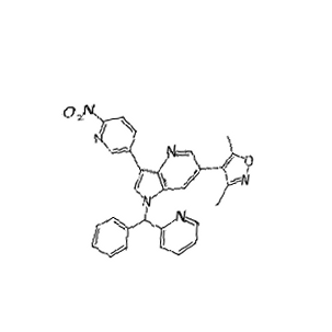 Cc1noc(C)c1-c1cnc2c(-c3ccc([N+](=O)[O-])nc3)cn(C(c3ccccc3)c3ccccn3)c2c1